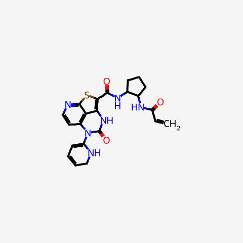 C=CC(=O)NC1CCCC1NC(=O)c1sc2nccc3c2c1NC(=O)N3C1=CC=CCN1